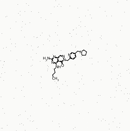 CCCCNc1nc(N)nc2cnn(Cc3ccc(CN4CCCC4)cn3)c(=O)c12